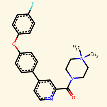 C[N+]1(C)CCN(C(=O)c2cc(-c3ccc(Oc4ccc(F)cc4)cc3)ccn2)CC1